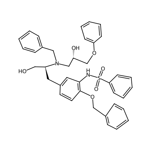 O=S(=O)(Nc1cc(C[C@@H](CO)N(Cc2ccccc2)C[C@H](O)COc2ccccc2)ccc1OCc1ccccc1)c1ccccc1